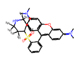 [2H]C1([2H])NC([2H])([2H])C([2H])([2H])C(S(=O)(=O)c2ccccc2-c2c3ccc(=[N+](C)C)cc-3oc3cc(N(C)C)ccc23)C1([2H])[2H]